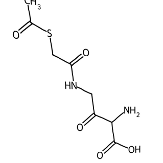 CC(=O)SCC(=O)NCC(=O)C(N)C(=O)O